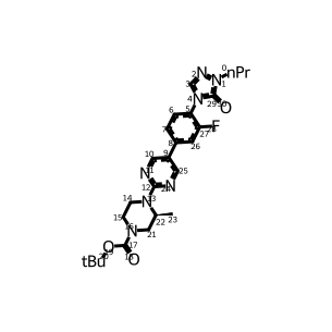 CCCn1ncn(-c2ccc(-c3cnc(N4CCN(C(=O)OC(C)(C)C)C[C@@H]4C)nc3)cc2F)c1=O